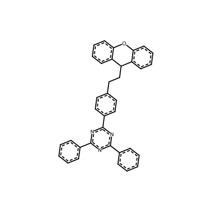 c1ccc(-c2nc(-c3ccccc3)nc(-c3ccc(CCC4c5ccccc5Oc5ccccc54)cc3)n2)cc1